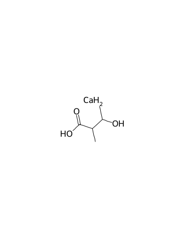 CC(O)C(C)C(=O)O.[CaH2]